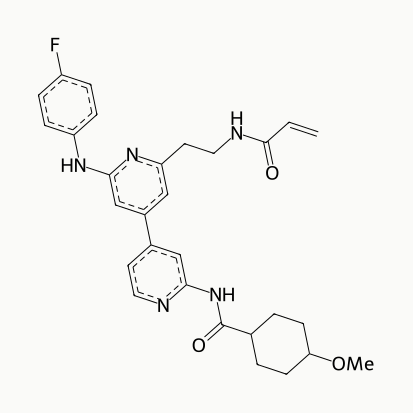 C=CC(=O)NCCc1cc(-c2ccnc(NC(=O)C3CCC(OC)CC3)c2)cc(Nc2ccc(F)cc2)n1